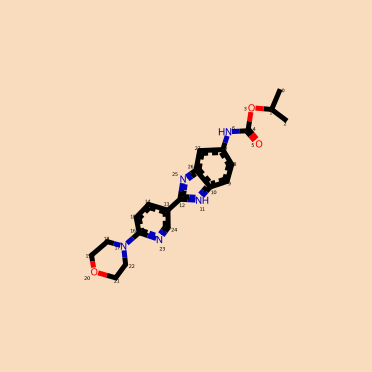 CC(C)OC(=O)Nc1ccc2[nH]c(-c3ccc(N4CCOCC4)nc3)nc2c1